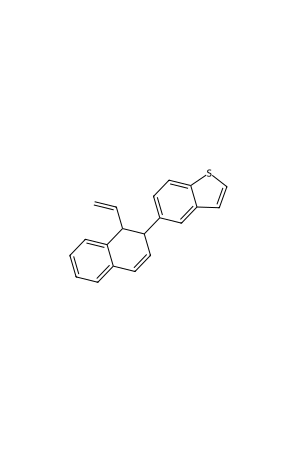 C=CC1c2ccccc2C=CC1c1ccc2sccc2c1